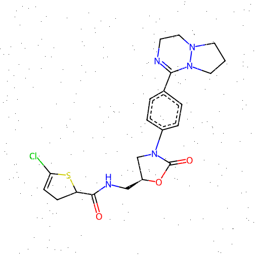 O=C(NC[C@H]1CN(c2ccc(C3=NCCN4CCCN34)cc2)C(=O)O1)C1CC=C(Cl)S1